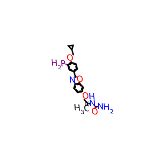 C[C@@H](COc1ccc2nc(-c3ccc(OCC4CC4)c(P)c3)oc2c1)NC(N)=O